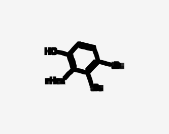 CCCCCCc1c(O)ccc(C(C)(C)C)c1C(C)(C)C